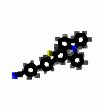 N#Cc1ccc(-c2ccc3c(c2)sc2ccc(-c4ccccc4-n4c5ccccc5c5ccccc54)cc23)cc1